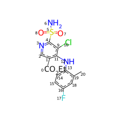 CCOC(=O)c1cnc(S(N)(=O)=O)c(Cl)c1Nc1ccc(F)cc1C